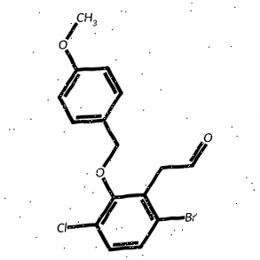 COc1ccc(COc2c(Cl)ccc(Br)c2CC=O)cc1